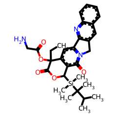 CCC1(OC(=O)CN)C(=O)OC([Si](C)(C)C(C)(C)C(C)C)c2c1cc1n(c2=O)Cc2cc3ccccc3nc2-1